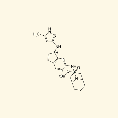 Cc1cc(N[SH]2C=Cc3cnc(NC4CC5CCCC(C4)N5C(=O)OC(C)(C)C)nc32)n[nH]1